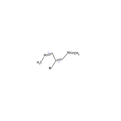 C=N/C=C(Br)\C=N/C